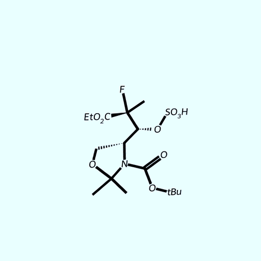 CCOC(=O)[C@](C)(F)[C@H](OS(=O)(=O)O)[C@H]1COC(C)(C)N1C(=O)OC(C)(C)C